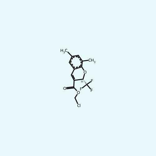 Cc1cc(C)c2c(c1)C=C(C(=O)OCCl)[C@@H](C(F)(F)F)O2